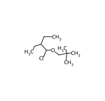 CCC(CC)C(Cl)OCC(C)(C)C